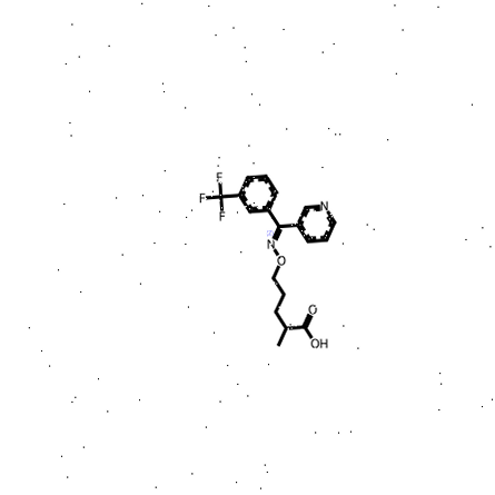 CC(CCCO/N=C(\c1cccnc1)c1cccc(C(F)(F)F)c1)C(=O)O